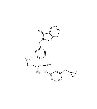 C[C@H]([C@H](C(=O)Nc1cccc(CC2CC2)c1)c1ccc(CN2Cc3ccccc3C2=O)cc1)C(F)(F)F.O=C(O)O